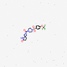 O=C1CCC2(CN(C(=O)N3CCN(S(=O)(=O)c4ccc(OC(F)(F)F)cc4)CC3)C2)N1